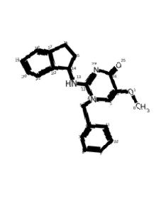 COc1cn(Cc2ccccc2)c(NC2CCc3ccccc32)nc1=O